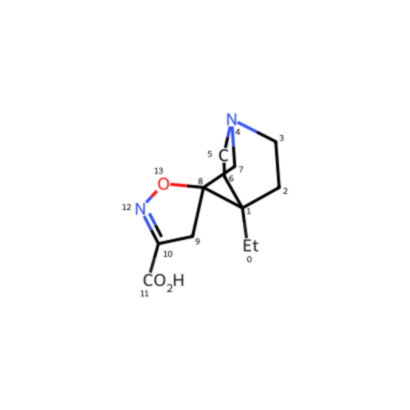 CCC12CCN(CC1)CC21CC(C(=O)O)=NO1